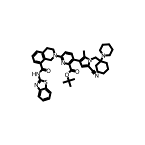 Cc1c(-c2ccc(N3CCc4cccc(C(=O)Nc5nc6ccccc6s5)c4C3)nc2C(=O)OC(C)(C)C)cc(C#N)n1CC1(N2CCCCC2)CCCCC1